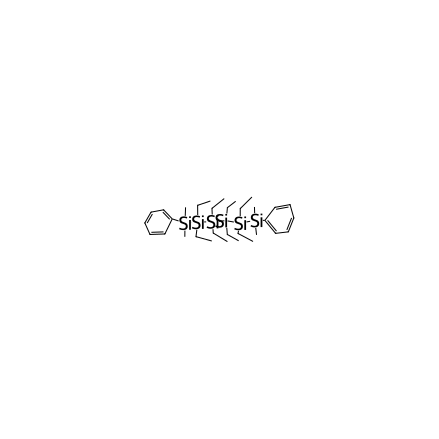 CC[Si](CC)([Si](C)(C)c1ccccc1)[Si](CC)(CC)[Si](CC)(CC)[Si](CC)(CC)[Si](C)(C)c1ccccc1